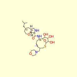 CC(C)C[C@@H]1CCO[C@@H]2[C@H](CN[C@@H]2C(=O)N[C@@H]2C/C=C\C(CN3CCOCC3)CSC3OC2C(O)C(O)C3O)C1